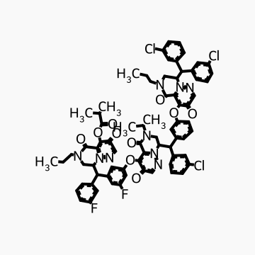 CCCN1CC(C(c2cccc(F)c2)c2cc(F)cc(Oc3c4n(ncc3=O)C(C(c3cccc(Cl)c3)c3cccc(Oc5c6n(ncc5=O)C(C(c5cccc(Cl)c5)c5cccc(Cl)c5)CN(CCC)C6=O)c3)CN(C(C)C)C4=O)c2)n2ncc(=O)c(OC(=O)C(C)C)c2C1=O